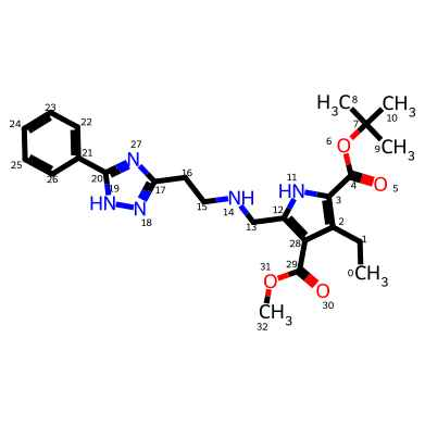 CCc1c(C(=O)OC(C)(C)C)[nH]c(CNCCc2n[nH]c(-c3ccccc3)n2)c1C(=O)OC